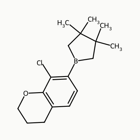 CC1(C)CB(c2ccc3c(c2Cl)OCCC3)CC1(C)C